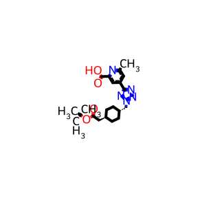 Cc1cc(-c2nnn(C[C@H]3CC[C@H](CC(=O)OC(C)(C)C)CC3)n2)cc(C(=O)O)n1